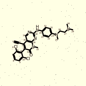 C#Cc1c(-c2c(Cl)cccc2Cl)c(=O)n(C)c2nc(Nc3ccc(N(C)CCN(C)C)cc3)ncc12